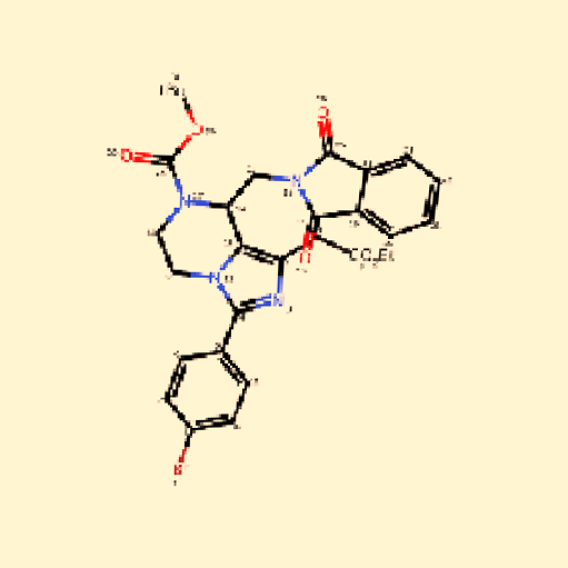 CCOC(=O)Cc1nc(-c2ccc(Br)cc2)n2c1C(CN1C(=O)c3ccccc3C1=O)N(C(=O)OC(C)(C)C)CC2